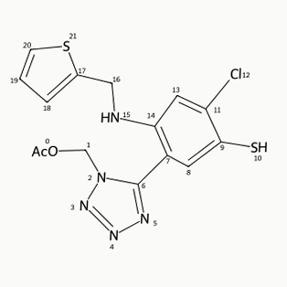 CC(=O)OCn1nnnc1-c1cc(S)c(Cl)cc1NCc1cccs1